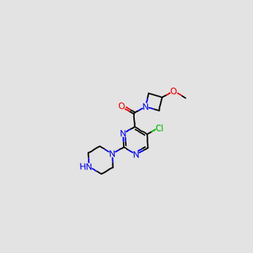 COC1CN(C(=O)c2nc(N3CCNCC3)ncc2Cl)C1